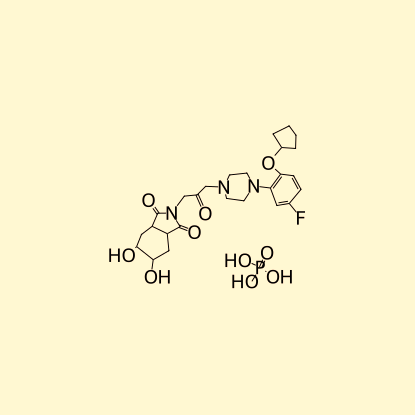 O=C(CN1CCN(c2cc(F)ccc2OC2CCCC2)CC1)CN1C(=O)C2CC(O)C(O)CC2C1=O.O=P(O)(O)O